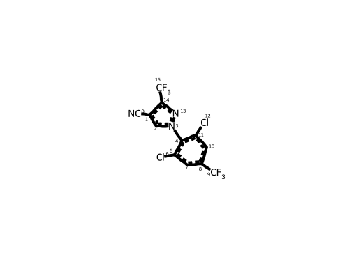 N#Cc1cn(-c2c(Cl)cc(C(F)(F)F)cc2Cl)nc1C(F)(F)F